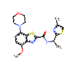 COc1ccc(N2CCOCC2)c2sc(C(=O)NC(C)c3nc(C)cs3)nc12